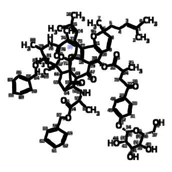 CC(C)=CCCC1(C)C=Cc2c(c(CC=C(C)C)c3c(c2OC(=O)C(C)CC(=O)c2ccc(O[C@@H]4O[C@H](CO)[C@@H](O)[C@H](O)[C@H]4O)cc2)C(=O)C2C(NC(C)C(=O)OCc4ccccc4)C4CC5C(C)(C)OC(C/C=C(/C)C(=O)NC(C)C(=O)OCc6ccccc6)(C4=O)C25O3)O1